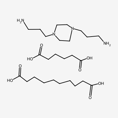 NCCCN1CCN(CCCN)CC1.O=C(O)CCCCC(=O)O.O=C(O)CCCCCCCCC(=O)O